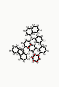 c1ccc(-c2ccccc2-c2c(-c3ccccc3)cccc2-c2cccc(N(c3ccc(-n4c5ccccc5c5ccccc54)cc3)c3cccc4ccccc34)c2)cc1